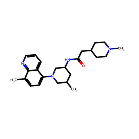 Cc1ccc(N2CC(C)CC(NC(=O)CC3CCN(C)CC3)C2)c2cccnc12